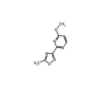 COc1ccnc(-c2noc(C)n2)n1